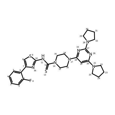 Fc1ccccc1-c1csc(NC(=S)N2CCN(c3cc(N4CCCC4)nc(N4CCCC4)n3)CC2)n1